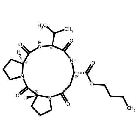 CCCCOC(=O)[C@@H]1CC(=O)N2CCC[C@@H]2C(=O)N2CCC[C@H]2C(=O)N[C@@H](C(C)C)C(=O)N1